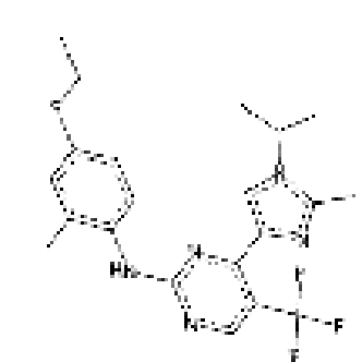 CCSc1ccc(Nc2ncc(C(F)(F)F)c(-c3cn(C(C)C)c(C)n3)n2)c(C)c1